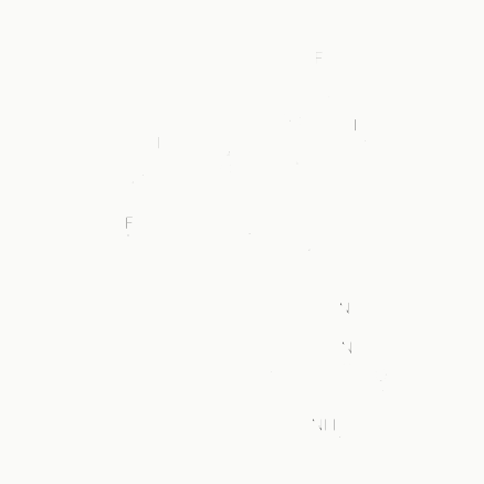 Nc1ccc(-c2ccc(OC(F)F)c(OCC(F)(F)F)c2)n[n+]1[O-]